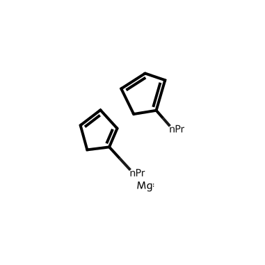 CCCC1=CC=CC1.CCCC1=CC=CC1.[Mg]